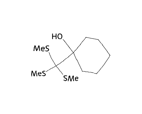 CSC(SC)(SC)C1(O)CCCCC1